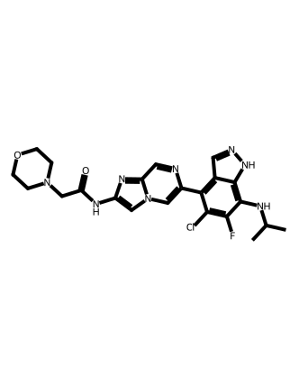 CC(C)Nc1c(F)c(Cl)c(-c2cn3cc(NC(=O)CN4CCOCC4)nc3cn2)c2cn[nH]c12